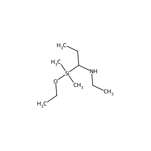 CCNC(CC)[Si](C)(C)OCC